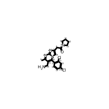 Cc1nc2nc(CC(=O)N3CCCC3)cn2c(-c2ccc(Cl)cc2Cl)c1CN